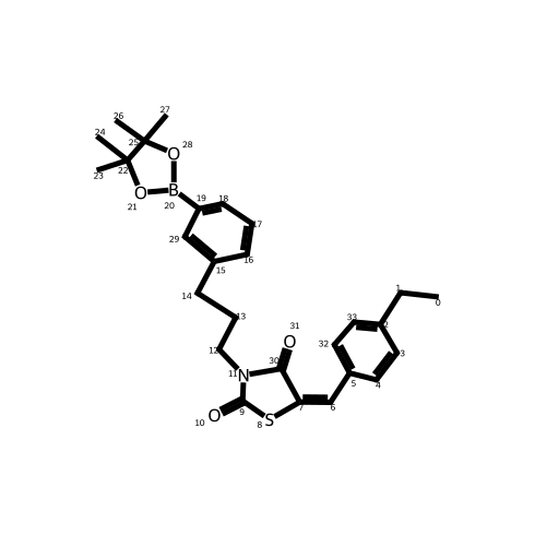 CCc1ccc(C=C2SC(=O)N(CCCc3cccc(B4OC(C)(C)C(C)(C)O4)c3)C2=O)cc1